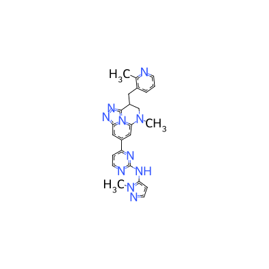 Cc1ncccc1CC1CN(C)c2cc(-c3ccnc(Nc4ccnn4C)n3)cc3nnc1n23